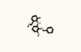 C/N=C/c1cccc(C)c1Pc1cccc(OC)c1OCc1ccccc1